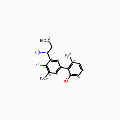 CCOC(=O)C[C@H](N)c1cc(-c2c(O)cccc2C(F)(F)F)cc(C(F)(F)F)c1F